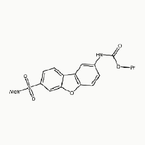 CNS(=O)(=O)c1ccc2c(c1)oc1ccc(NC(=O)OC(C)C)cc12